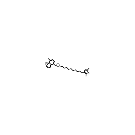 Cc1cc(CCCCCCCCCCCOCc2ccc(C)c3ncccc23)c(C)s1